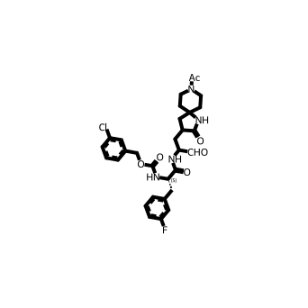 CC(=O)N1CCC2(CC1)CC(CC(C=O)NC(=O)[C@H](Cc1cccc(F)c1)NC(=O)OCc1cccc(Cl)c1)C(=O)N2